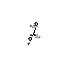 CCOC(=O)NC(CCCCC(=O)Nc1ccccc1N)C(=O)Nc1cccc(OC2CC2)c1